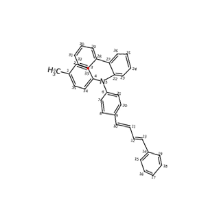 Cc1ccc(N(c2ccc(/C=C/C=C/c3ccccc3)cc2)c2ccccc2-c2ccccc2)cc1